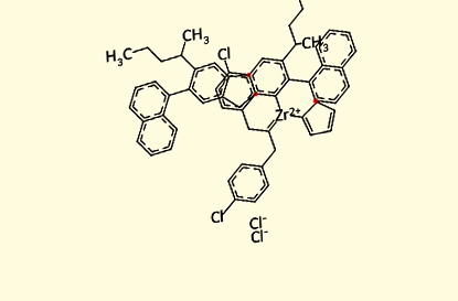 CCCC(C)c1cc2c(cc1-c1cccc3ccccc13)Cc1c-2cc(C(C)CCC)c(-c2cccc3ccccc23)[c]1[Zr+2]([C]1=CC=CC1)=[C](Cc1ccc(Cl)cc1)Cc1ccc(Cl)cc1.[Cl-].[Cl-]